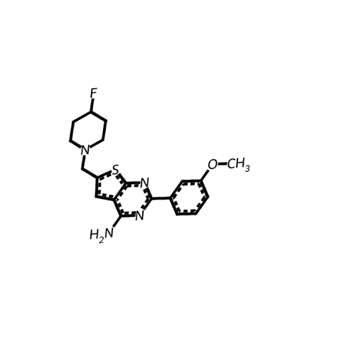 COc1cccc(-c2nc(N)c3cc(CN4CCC(F)CC4)sc3n2)c1